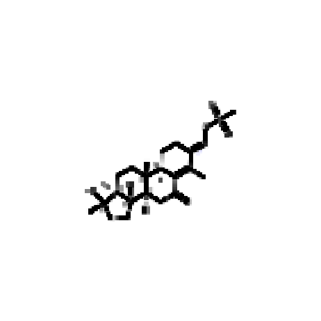 C=C1C[C@@H]2[C@H](CC[C@@]3(C)[C@H]2CC[C@]3(C)O)[C@@]2(C)CC/C(=N\OS(C)(=O)=O)C(C)=C12